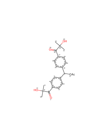 CC(=O)OC(c1ccc(C(=O)C(C)(C)O)cc1)c1ccc(C(=O)C(C)(C)O)cc1